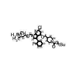 CC(C)(C)OC(=O)N1CCC(COc2cc(Cl)nc3c2c(-c2ccccc2F)cn3COCC[Si](C)(C)C)CC1